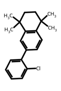 CC1(C)CCC(C)(C)c2cc(-c3ccccc3Cl)ccc21